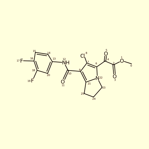 COC(=O)C(=O)c1c(Cl)c(C(=O)Nc2ccc(F)c(F)c2)c2n1CCC2